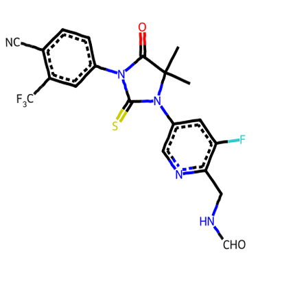 CC1(C)C(=O)N(c2ccc(C#N)c(C(F)(F)F)c2)C(=S)N1c1cnc(CNC=O)c(F)c1